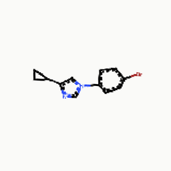 Brc1ccc(-n2cnc(C3CC3)c2)cc1